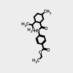 CCOC(=O)c1ccc(NC(=O)C2CC(C)CCC2C(C)C)cc1